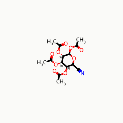 CC(=O)OC1OC(C#N)[C@@H](OC(C)=O)[C@@H](OC(C)=O)[C@@H]1OC(C)=O